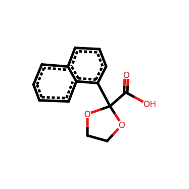 O=C(O)C1(c2cccc3ccccc23)OCCO1